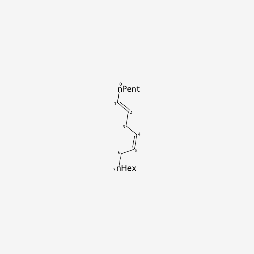 CCCCCC=CC/C=C\CCCCCCC